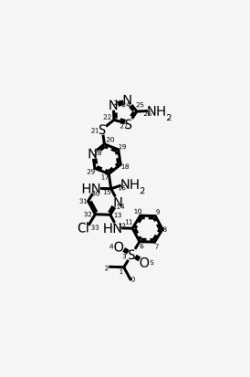 CC(C)S(=O)(=O)c1ccccc1NC1=NC(N)(c2ccc(Sc3nnc(N)s3)nc2)NC=C1Cl